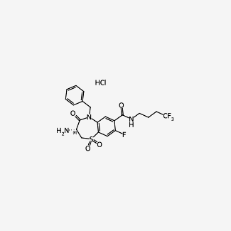 Cl.N[C@H]1CS(=O)(=O)c2cc(F)c(C(=O)NCCCC(F)(F)F)cc2N(Cc2ccccc2)C1=O